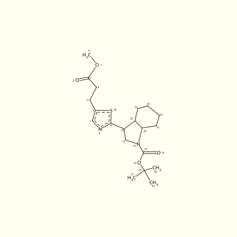 COC(=O)CCc1cnc(C2CN(C(=O)OC(C)(C)C)C3CCCCC23)s1